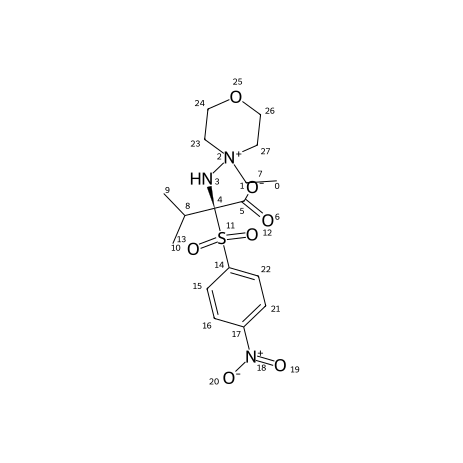 CC[N+]1(N[C@](C(=O)[O-])(C(C)C)S(=O)(=O)c2ccc([N+](=O)[O-])cc2)CCOCC1